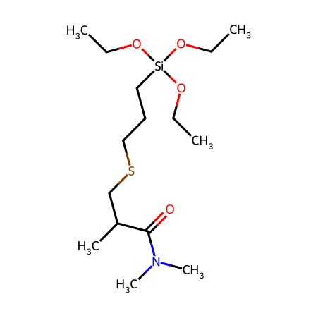 CCO[Si](CCCSCC(C)C(=O)N(C)C)(OCC)OCC